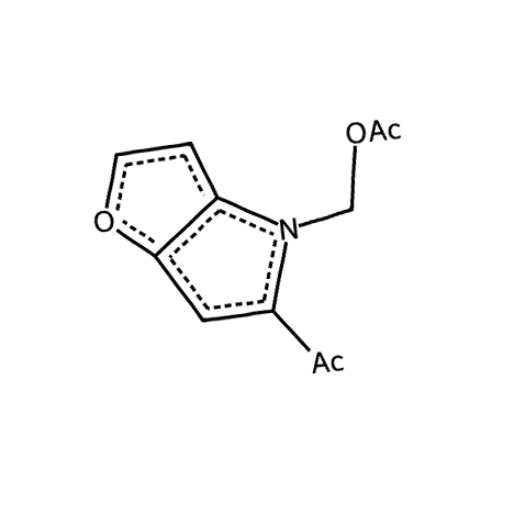 CC(=O)OCn1c(C(C)=O)cc2occc21